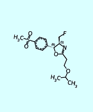 CC(C)OCCC1=N[C@H](CF)[C@@H](c2ccc(S(C)(=O)=O)cc2)O1